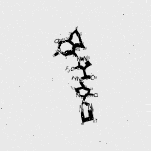 Cn1cc(-n2ncc(C(=O)Nc3cnc(-n4nccn4)c(Cl)c3)c2C(F)(F)F)c2ccccc2c1=O